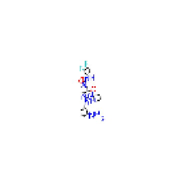 Nc1cccc(CNc2nc3c(c(=O)n2-c2ccccc2)CN(C(=O)Nc2ccc(F)c(F)c2)CC3)c1